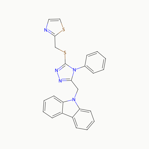 c1ccc(-n2c(Cn3c4ccccc4c4ccccc43)nnc2SCc2nccs2)cc1